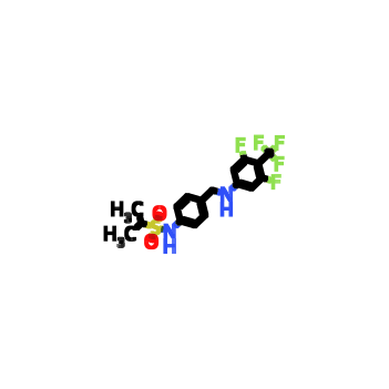 CC(C)S(=O)(=O)Nc1ccc(CNc2cc(F)c(C(F)(F)F)c(F)c2)cc1